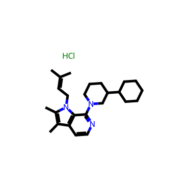 CC(C)=CCn1c(C)c(C)c2ccnc(N3CCCC(C4CCCCC4)C3)c21.Cl